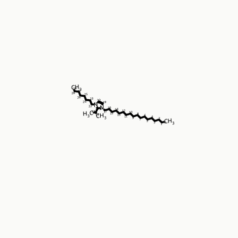 CCCCCCCCCCCCCCCCCCN1C=CN(CCCCCCCC)C1C(C)C